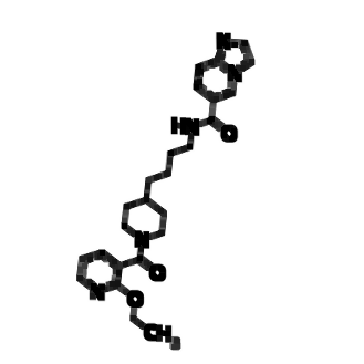 CCOc1ncccc1C(=O)N1CCC(CCCCNC(=O)c2ccc3nccn3c2)CC1